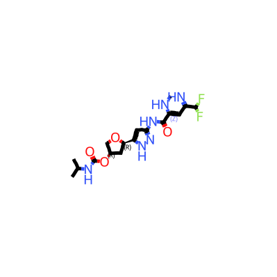 CN/C(=C\C(=N)C(F)F)C(=O)Nc1cc([C@H]2C[C@@H](OC(=O)NC(C)C)CO2)[nH]n1